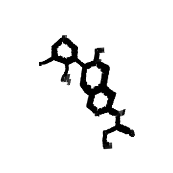 Cc1c(F)cncc1-c1cc2cnc(NC(=O)OC(C)(C)C)cc2c[n+]1O